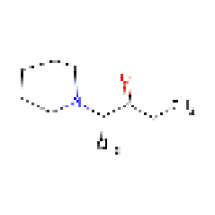 CCC(=O)C(C)N1CCCCC1